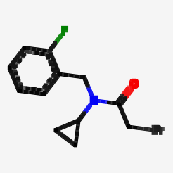 CC(C)CC(=O)N(Cc1ccccc1F)C1CC1